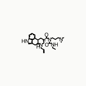 C=CCN1C[C@H](C(=O)N(CCCN(C)C)C(=O)NCC)CC2c3cccc4[nH]cc(c34)C[C@H]21